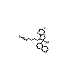 [Br-].[N-]=[N+]=NCCCCN1c2nccc[n+]2CC1(O)c1cccc2ccccc12